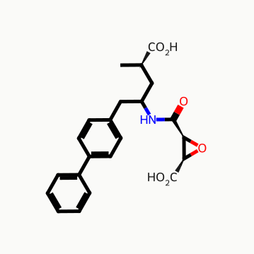 C[C@H](CC(Cc1ccc(-c2ccccc2)cc1)NC(=O)[C@H]1O[C@H]1C(=O)O)C(=O)O